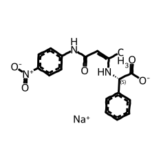 CC(=CC(=O)Nc1ccc([N+](=O)[O-])cc1)N[C@H](C(=O)[O-])c1ccccc1.[Na+]